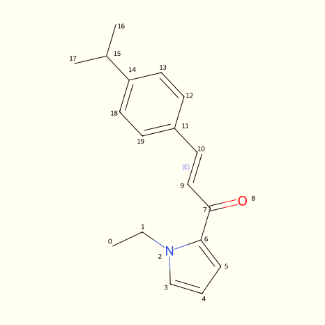 CCn1cccc1C(=O)/C=C/c1ccc(C(C)C)cc1